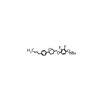 C=CCCc1ccc(C2CCC(COc3ccc(OCCCC)c(F)c3F)CO2)cc1